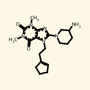 Cn1c(=O)c2c(nc(N3CCCC(N)C3)n2CCC2=CCCC2)n(C)c1=O